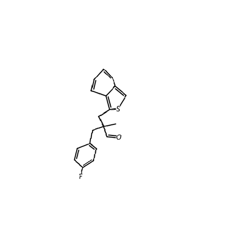 CC(C=O)(Cc1ccc(F)cc1)Cc1scc2ccccc12